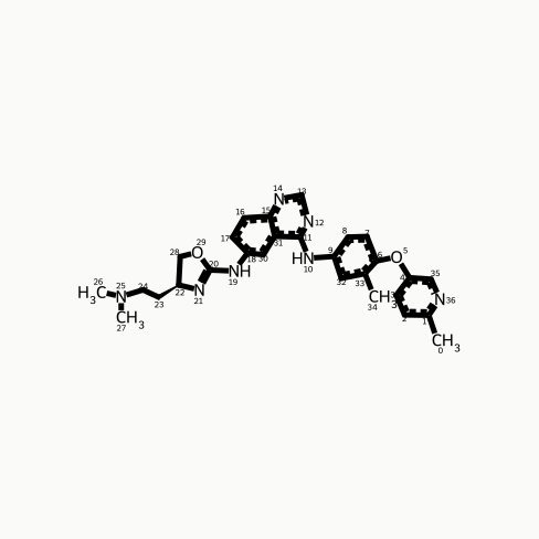 Cc1ccc(Oc2ccc(Nc3ncnc4ccc(NC5=N[C@@H](CCN(C)C)CO5)cc34)cc2C)cn1